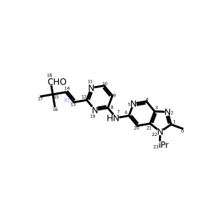 Cc1nc2cnc(Nc3ccnc(/C=C/C(C)(C)C=O)n3)cc2n1C(C)C